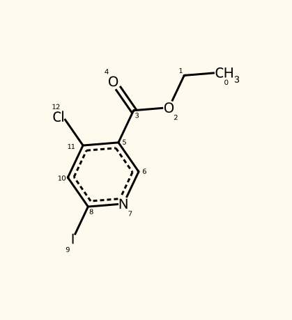 CCOC(=O)c1cnc(I)cc1Cl